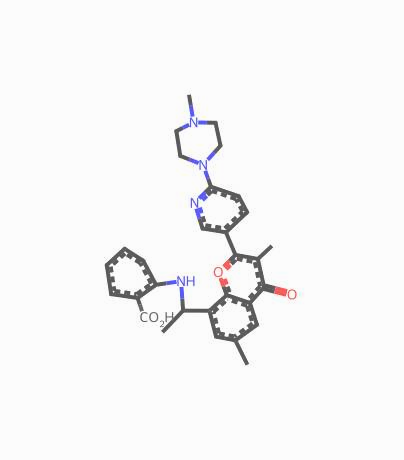 Cc1cc(C(C)Nc2ccccc2C(=O)O)c2oc(-c3ccc(N4CCN(C)CC4)nc3)c(C)c(=O)c2c1